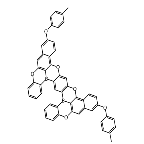 Cc1ccc(Oc2ccc3c4c5c(cc3c2)Oc2ccccc2B5c2cc3c(cc2O4)Oc2c4c(cc5cc(Oc6ccc(C)cc6)ccc25)Oc2ccccc2B34)cc1